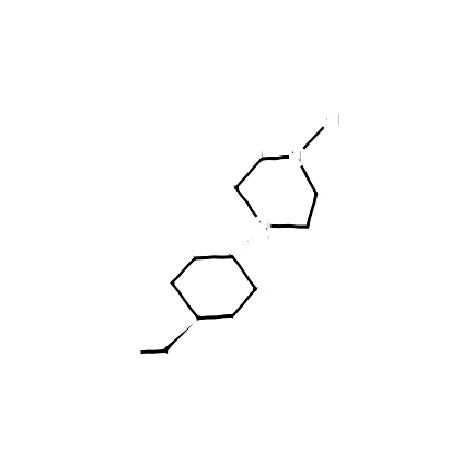 CN1CCN([C@H]2CC[C@H](CF)CC2)CC1